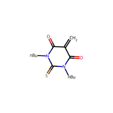 C=C1C(=O)N(CCCC)C(=S)N(CCCC)C1=O